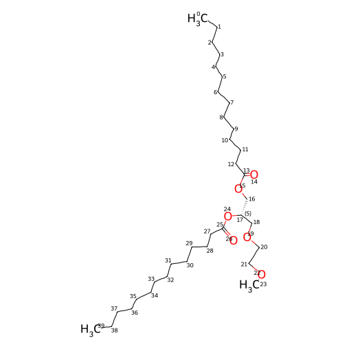 CCCCCCCCCCCCCC(=O)OC[C@H](COCCOC)OC(=O)CCCCCCCCCCCCC